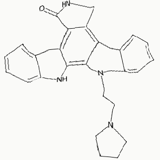 O=C1NCc2c1c1c3ccccc3[nH]c1c1c2c2ccccc2n1CCN1CCCC1